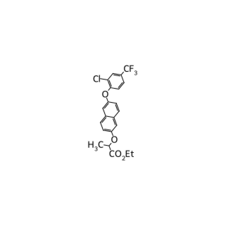 CCOC(=O)C(C)Oc1ccc2cc(Oc3ccc(C(F)(F)F)cc3Cl)ccc2c1